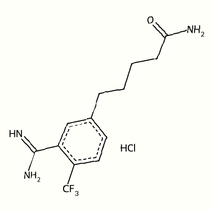 Cl.N=C(N)c1cc(CCCCC(N)=O)ccc1C(F)(F)F